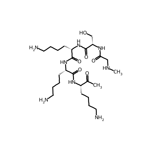 CNCC(=O)N[C@@H](CO)C(=O)N[C@@H](CCCCN)C(=O)N[C@@H](CCCCN)C(=O)N[C@@H](CCCCN)C(C)=O